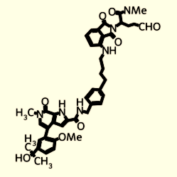 CNC(=O)C(CCC=O)N1C(=O)c2cccc(NCCCCc3ccc(CNC(=O)c4cc5c(-c6cc(C(C)(C)O)ccc6OC)cn(C)c(=O)c5[nH]4)cc3)c2C1=O